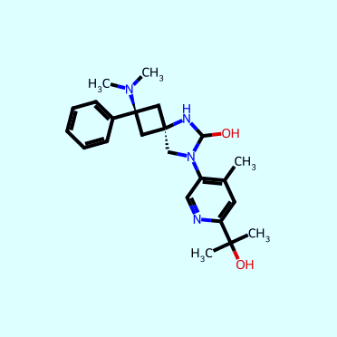 Cc1cc(C(C)(C)O)ncc1N1C[C@]2(C[C@](c3ccccc3)(N(C)C)C2)NC1O